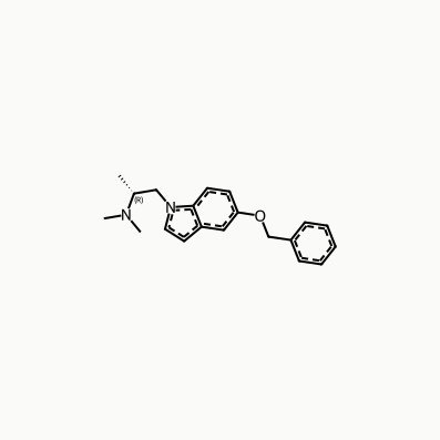 C[C@H](Cn1ccc2cc(OCc3ccccc3)ccc21)N(C)C